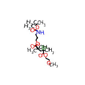 COCCOC(=O)C(C)(Br)CC(C)(C)C(=O)OCCCNC(=O)OC(C)(C)C